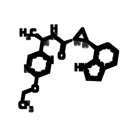 C[C@@H](NC(=O)[C@@H]1C[C@H]1c1cccc2cc[nH]c12)c1cnc(OCC(F)(F)F)cn1